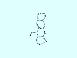 C=CC(c1ccc2ccccc2c1)c1[c]ccnc1Cl